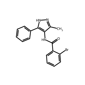 Cc1n[nH]c(-c2ccccc2)c1NC(=O)c1ccccc1Br